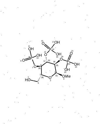 CO[C@H]1O[C@H](CO)[C@@H](OP(=O)(O)O)[C@H](OP(=O)(O)O)[C@H]1OP(=O)(O)O